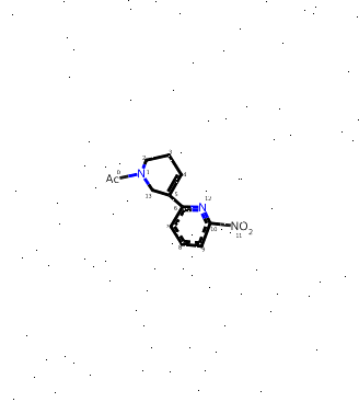 CC(=O)N1CCC=C(c2cccc([N+](=O)[O-])n2)C1